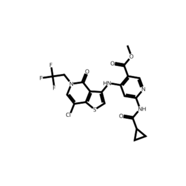 COC(=O)c1cnc(NC(=O)C2CC2)cc1Nc1csc2c(Cl)cn(CC(F)(F)F)c(=O)c12